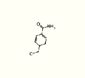 NC(=O)C1=CCC(CCl)C=C1